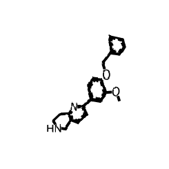 COc1cc(-c2ccc3c(n2)CCNC3)ccc1OCc1ccccc1